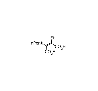 CCCCC/C(C(=O)OCC)=C(\CC)C(=O)OCC